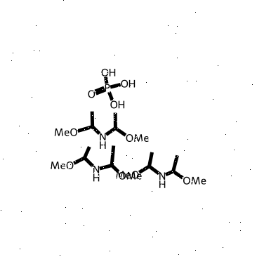 COC(C)NC(C)OC.COC(C)NC(C)OC.COC(C)NC(C)OC.O=P(O)(O)O